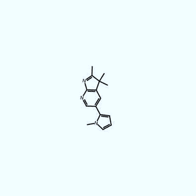 CC1=Nc2ncc(-c3cccn3C)cc2C1(C)C